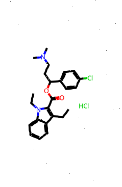 CCc1c(C(=O)OC(CCN(C)C)c2ccc(Cl)cc2)n(CC)c2ccccc12.Cl